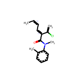 C=C(Cl)/C(=C\C=C/C)C(=O)N(C)c1ccccc1C